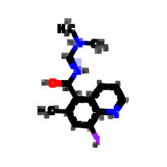 Cc1cc(I)c2ncccc2c1C(=O)/N=C/N(C)C